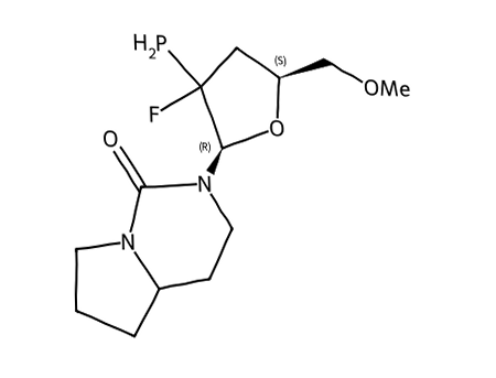 COC[C@@H]1CC(F)(P)[C@H](N2CCC3CCCN3C2=O)O1